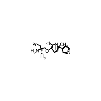 CC(C)C[C@](C)(N)COC1=C(Cl)NC(C)(c2ccncc2)C=C1